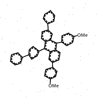 COc1ccc(-c2ccc3c(-c4ccc(OC)cc4)c4cc(-c5ccccc5)ccc4c(-c4ccc(-c5ccccc5)cc4)c3c2)cc1